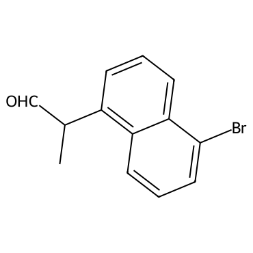 CC(C=O)c1cccc2c(Br)cccc12